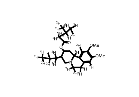 [2H]c1c(OC)c(OC)c([2H])c2c1C1([2H])CC(OC(=O)[C@@]([2H])(N)C([2H])(C([2H])([2H])[2H])C([2H])([2H])[2H])C(C([2H])([2H])C([2H])(C)C([2H])([2H])[2H])CN1C([2H])([2H])C2([2H])[2H]